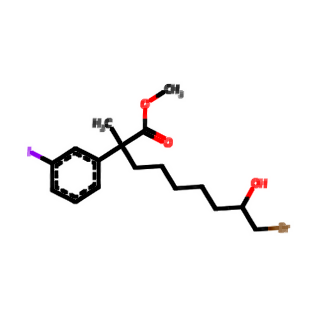 COC(=O)C(C)(CCCCCC(O)CBr)c1cccc(I)c1